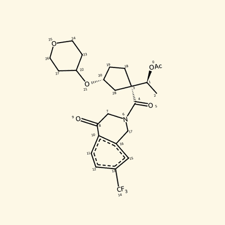 CC(=O)O[C@@H](C)[C@]1(C(=O)N2CC(=O)c3ccc(C(F)(F)F)cc3C2)CC[C@@H](OC2CCOCC2)C1